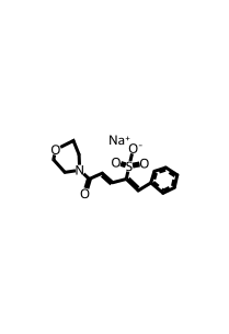 O=C(C=CC(=Cc1ccccc1)S(=O)(=O)[O-])N1CCOCC1.[Na+]